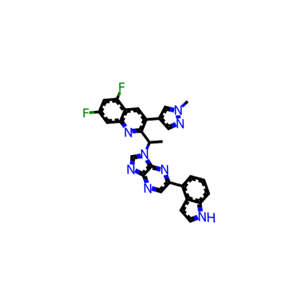 CC(c1nc2cc(F)cc(F)c2cc1-c1cnn(C)c1)n1cnc2ncc(-c3cccc4[nH]ccc34)nc21